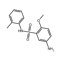 COc1ccc(N)cc1S(=O)(=O)Nc1ccccc1C